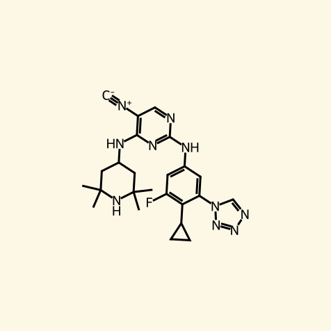 [C-]#[N+]c1cnc(Nc2cc(F)c(C3CC3)c(-n3cnnn3)c2)nc1NC1CC(C)(C)NC(C)(C)C1